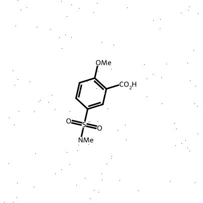 CNS(=O)(=O)c1ccc(OC)c(C(=O)O)c1